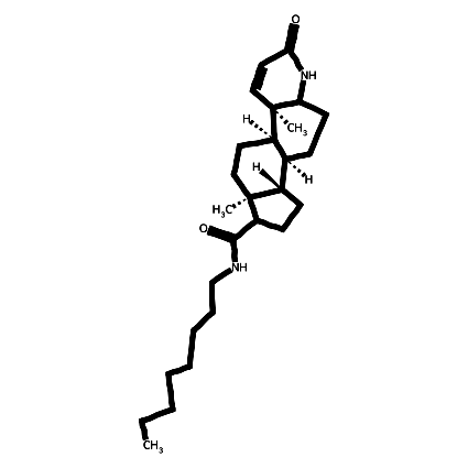 CCCCCCCCNC(=O)C1CC[C@H]2[C@@H]3CCC4NC(=O)C=C[C@]4(C)[C@@H]3CC[C@]12C